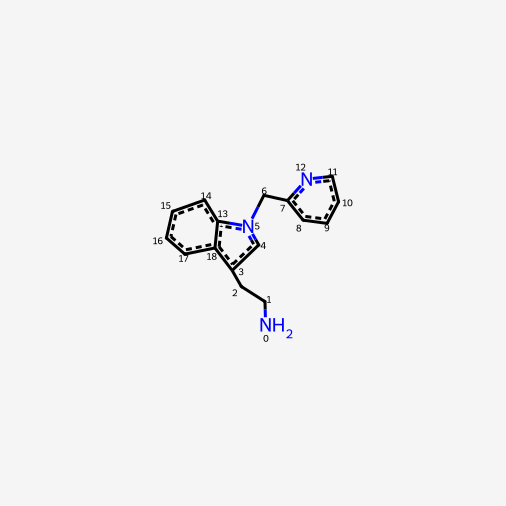 NCCc1cn(Cc2ccccn2)c2ccccc12